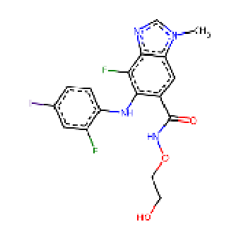 Cn1cnc2c(F)c(Nc3ccc(I)cc3F)c(C(=O)NOCCO)cc21